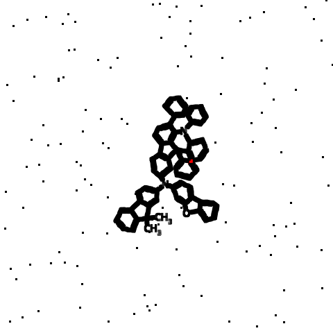 CC1(C)c2ccccc2-c2ccc(N(c3ccc4c(c3)C3(c5ccccc5)c5ccccc5N(c5ccccc5)c5c(-c6ccccc6)ccc-4c53)c3ccc4c(c3)oc3ccccc34)cc21